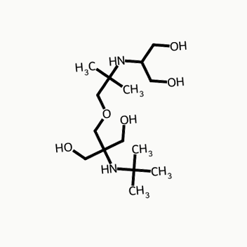 CC(C)(C)NC(CO)(CO)COCC(C)(C)NC(CO)CO